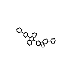 c1ccc(-c2ccc(-c3c4ccccc4c(-c4ccc5oc6cc(-c7ccccc7)ccc6c5c4)c4ccccc34)cc2)cc1